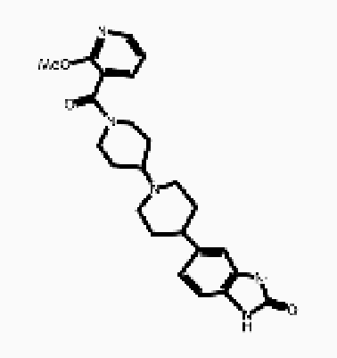 COc1ncccc1C(=O)N1CCC(N2CCC(c3ccc4c(c3)[N]C(=O)N4)CC2)CC1